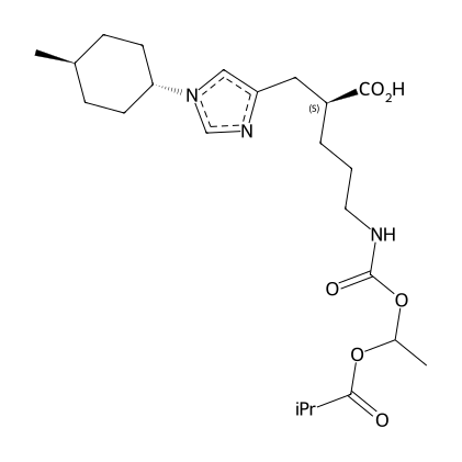 CC(OC(=O)NCCC[C@@H](Cc1cn([C@H]2CC[C@H](C)CC2)cn1)C(=O)O)OC(=O)C(C)C